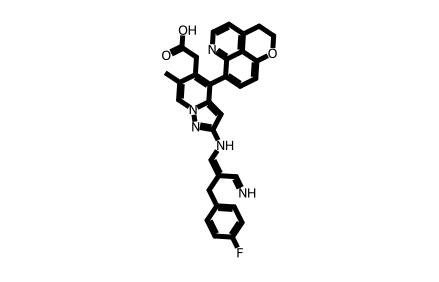 Cc1cn2nc(N/C=C(\C=N)Cc3ccc(F)cc3)cc2c(-c2ccc3c4c(ccnc24)CCO3)c1CC(=O)O